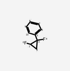 FC1CC1(F)c1ccccc1